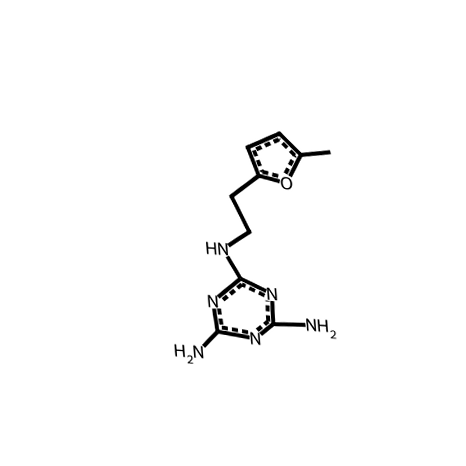 Cc1ccc(CCNc2nc(N)nc(N)n2)o1